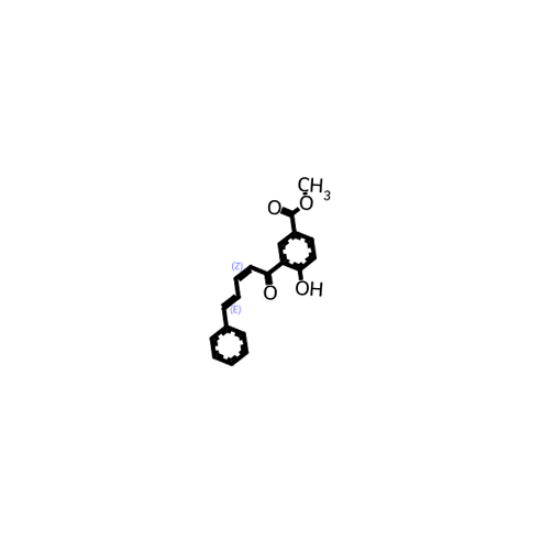 COC(=O)c1ccc(O)c(C(=O)/C=C\C=C\c2ccccc2)c1